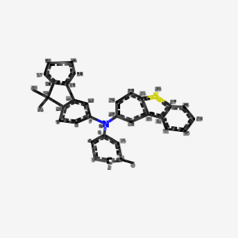 Cc1cccc(N(c2ccc3c(c2)-c2ccccc2C3(C)C)c2ccc3sc4ccccc4c3c2)c1